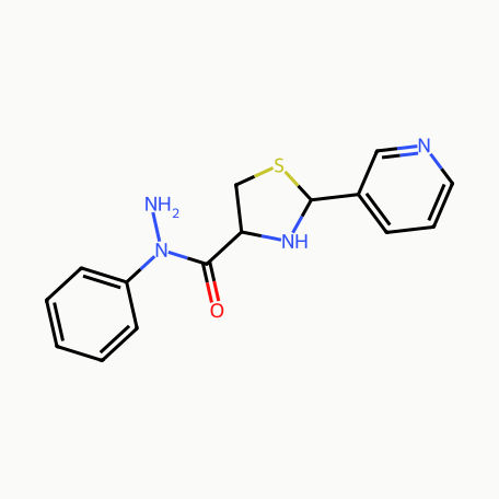 NN(C(=O)C1CSC(c2cccnc2)N1)c1ccccc1